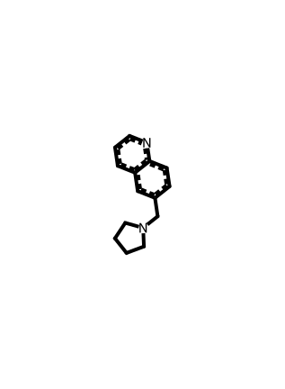 c1cnc2ccc(CN3CCCC3)cc2c1